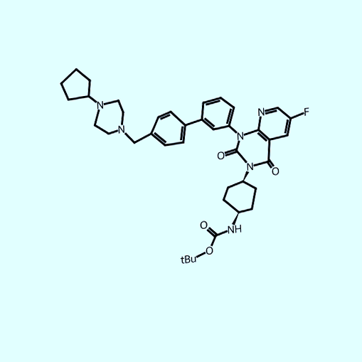 CC(C)(C)OC(=O)N[C@H]1CC[C@@H](n2c(=O)c3cc(F)cnc3n(-c3cccc(-c4ccc(CN5CCN(C6CCCC6)CC5)cc4)c3)c2=O)CC1